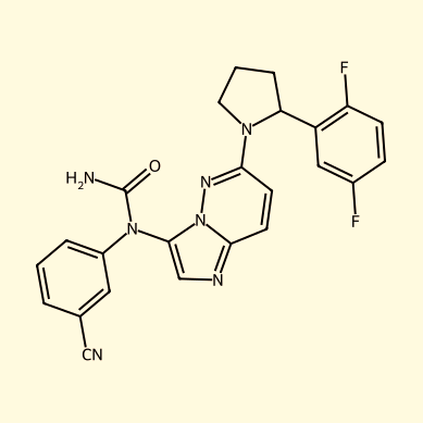 N#Cc1cccc(N(C(N)=O)c2cnc3ccc(N4CCCC4c4cc(F)ccc4F)nn23)c1